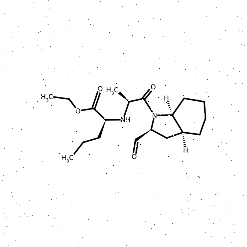 CCC[C@H](N[C@@H](C)C(=O)N1[C@H](C=O)C[C@@H]2CCCC[C@@H]21)C(=O)OCC